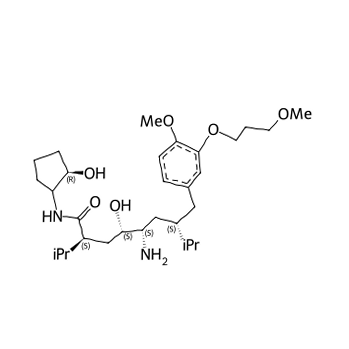 COCCCOc1cc(C[C@@H](C[C@H](N)[C@@H](O)C[C@H](C(=O)NC2CCC[C@H]2O)C(C)C)C(C)C)ccc1OC